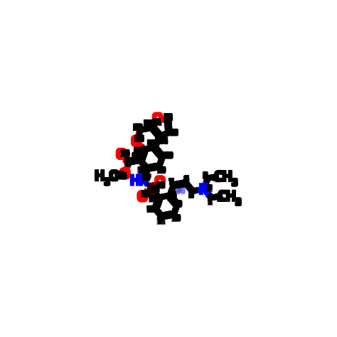 CCN(CC)C/C=C\c1ccccc1S(=O)(=O)Nc1ccc2c(c1C(=O)OC)OCc1occc1-2